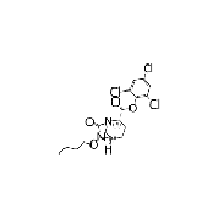 CCCCON1C(=O)N2C[C@@H]1CC[C@H]2C(=O)Oc1c(Cl)cc(Cl)cc1Cl